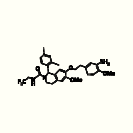 COc1ccc(CCOc2cc3c(cc2OC)CCN(C(=O)NCC(F)(F)F)C3c2ccc(C)cc2C)cc1N